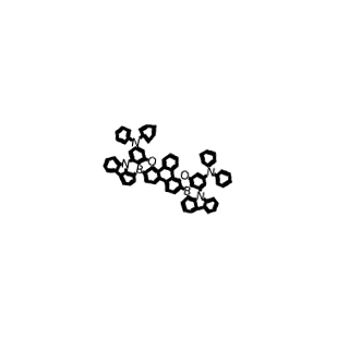 c1ccc(N(c2ccccc2)c2cc3c4c(c2)-n2c5ccccc5c5cccc(c52)B4c2ccc4c5ccc6c(c5c5ccccc5c4c2O3)Oc2cc(N(c3ccccc3)c3ccccc3)cc3c2B6c2cccc4c5ccccc5n-3c24)cc1